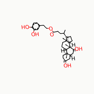 CC(CCC(=O)OCCc1ccc(O)c(O)c1)[C@H]1CC[C@@H]2[C@]1(C)CC[C@@H]1[C@@]3(C)CC[C@@H](O)C[C@H]3C[C@H](O)[C@]12C